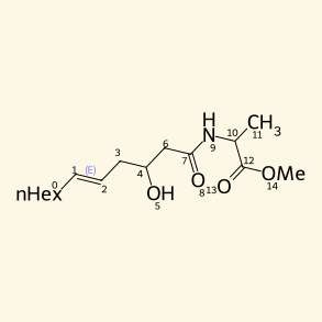 CCCCCC/C=C/CC(O)CC(=O)NC(C)C(=O)OC